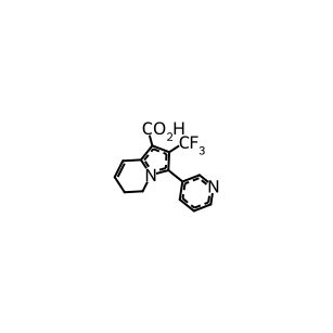 O=C(O)c1c(C(F)(F)F)c(-c2cccnc2)n2c1C=CCC2